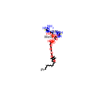 CO[C@H](COP(=O)(OC)OC1C(O)[C@H](n2cnc3c(=S)[nH]c(N)nc32)O[C@@H]1COP(=O)(O)O[C@H](CO)COCCOCCOCCOc1c(C)c(C)c2c(c1C)CC[C@@](C)(CCC[C@H](C)CCC[C@H](C)CCCC(C)C)O2)C(O)Cn1cnc2c(=S)[nH]c(N)nc21